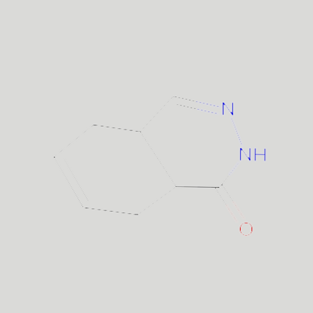 O=C1NN=CC2CC=CCC12